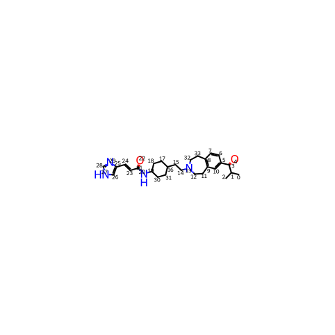 CC(C)C(=O)c1ccc2c(c1)CCN(CCC1CCC(NC(=O)/C=C/c3c[nH]cn3)CC1)CC2